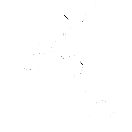 COC(=O)[C@H](C)NC(=O)[C@@H](CC(=O)OCc1ccccc1)NC(=O)C(C)(C)CC(C)(C)C